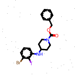 O=C(OCc1ccccc1)N1CCC(Nc2cccc(Br)c2I)CC1